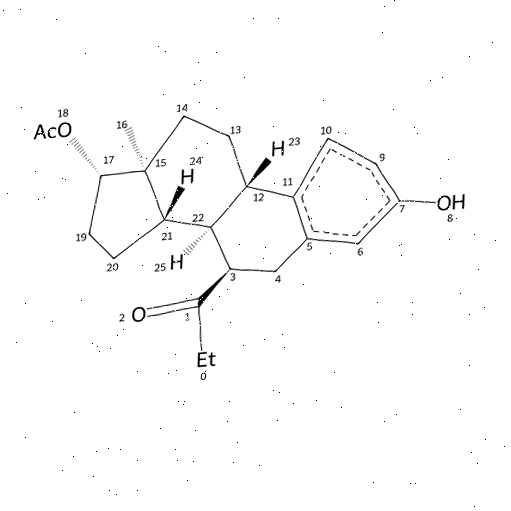 CCC(=O)[C@@H]1Cc2cc(O)ccc2[C@H]2CC[C@]3(C)[C@@H](OC(C)=O)CC[C@H]3[C@@H]21